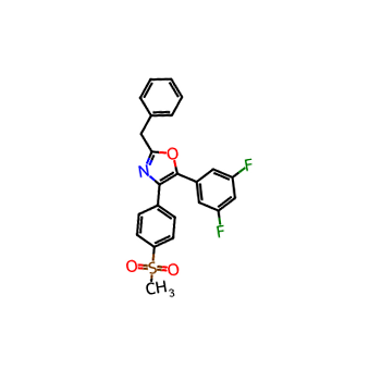 CS(=O)(=O)c1ccc(-c2nc(Cc3ccccc3)oc2-c2cc(F)cc(F)c2)cc1